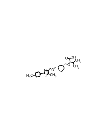 Cc1ccc(-c2nc(COC[C@H]3CCC[C@@H](COC(C(=O)O)C(C)C)C3)c(C)o2)cc1